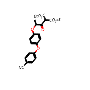 CCOC(=O)C(C(=O)OCC)C(=O)C(C)Oc1ccc(Oc2ccc(C#N)cc2)cc1